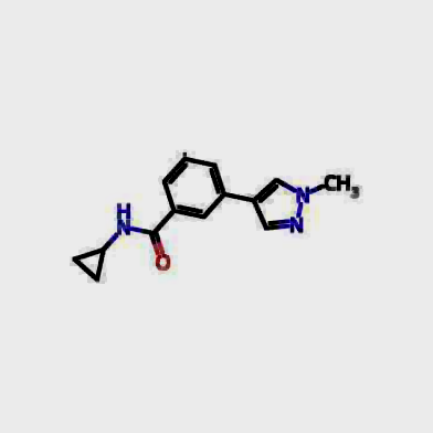 Cn1cc(-c2c[c]cc(C(=O)NC3CC3)c2)cn1